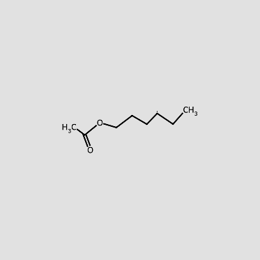 CC[CH]CCCOC(C)=O